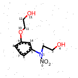 O=[N+]([O-])N(CCO)c1cccc(OCCO)c1